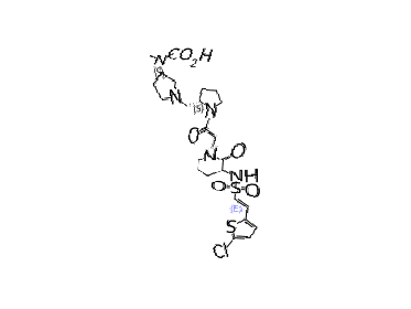 CN(C(=O)O)[C@H]1CCN(C[C@@H]2CCCN2C(=O)CN2CCCC(NS(=O)(=O)/C=C/c3ccc(Cl)s3)C2=O)C1